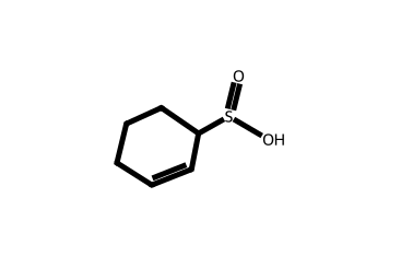 O=S(O)C1C=CCCC1